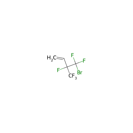 C=CC(F)(C(F)(F)F)C(F)(F)Br